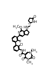 COc1nc(-c2cccc(-c3cccc(NC(=O)C4=CN(C)C5OC5N(C)C4=O)c3Cl)c2F)cc2c1[C@@H](NC[C@@H]1CCC(=O)N1)CC2